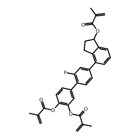 C=C(C)C(=O)Oc1ccc(-c2ccc(-c3cccc4c3CCC4OC(=O)C(=C)C)cc2F)cc1OC(=O)C(=C)C